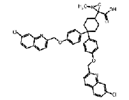 CN1OC1(C(=O)O)C1CCC(c2ccc(OCc3ccc4ccc(Cl)cc4n3)cc2)(c2ccc(OCc3ccc4ccc(Cl)cc4n3)cc2)CC1